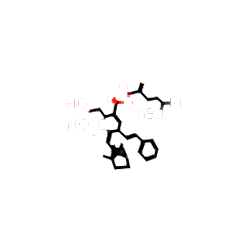 C=C(CCC(CC)CCCC)C(=O)OC(=O)C(=CC(C=Cc1ccccc1)C(=CC1CC2CCC1(C)C2(C)C)C(=O)O)CCCO